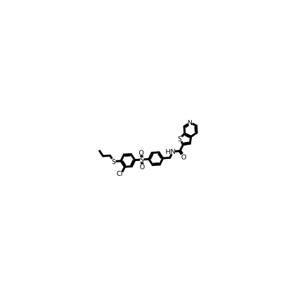 CCCSc1ccc(S(=O)(=O)c2ccc(CNC(=O)c3cc4ccncc4s3)cc2)cc1Cl